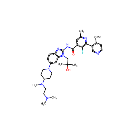 COc1ccncc1-c1nc(C)cc(C(=O)Nc2nc3ccc(N4CCC(N(C)CCN(C)C)CC4)cc3n2CC(C)(C)O)c1F